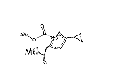 COC(=O)c1cc(C2CC2)cn1C(=O)OC(C)(C)C